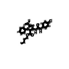 CCCCOC(=O)c1c(NC(=O)Nc2ccc(Cl)cc2)nc(N(C)C)n1-c1ccccc1